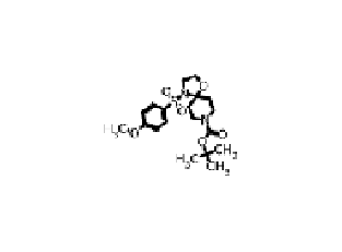 COc1ccc(S(=O)(=O)N2CCOC23CCN(C(=O)OC(C)(C)C)CC3)cc1